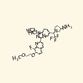 COCCOc1ccc2ccc(-c3nnc4ccc([C@@H](N5CCC(N)C5)C(F)(F)F)cn34)nc2c1F.Cl.Cl